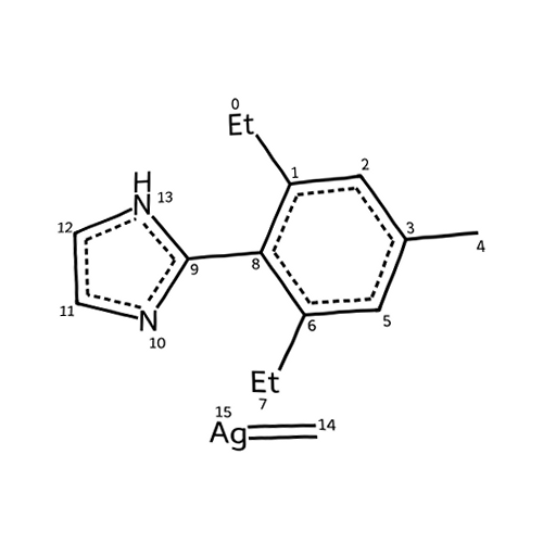 CCc1cc(C)cc(CC)c1-c1ncc[nH]1.[CH2]=[Ag]